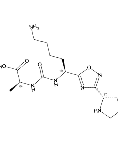 C[C@H](NC(=O)N[C@@H](CCCCN)c1nc([C@@H]2CCCN2)no1)C(=O)O